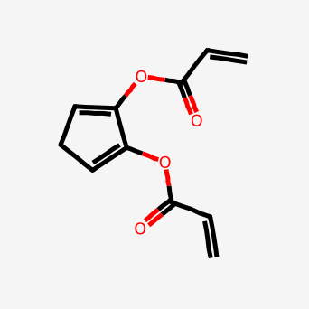 C=CC(=O)OC1=CCC=C1OC(=O)C=C